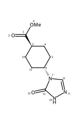 COC(=O)[C@H]1CC[C@H](n2cn[nH]c2=O)CC1